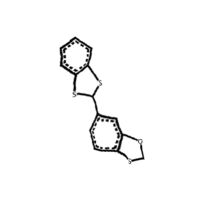 c1ccc2c(c1)SC(c1ccc3c(c1)OCS3)S2